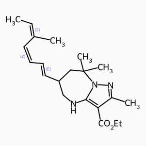 C\C=C(C)/C=C\C=C\C1CNc2c(C(=O)OCC)c(C)nn2C(C)(C)C1